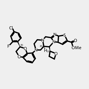 COC(=O)C1=CC2C(N=C3CN4CCN(c5cccc6c5O[C@H](c5ccc(Cl)cc5F)CO6)C[C@@H]4C([C@@H]4CCO4)N32)S1